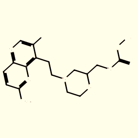 COc1ccc2ncc(F)c(CCN3CCNC(CNC(=O)OC(C)(C)C)C3)c2n1